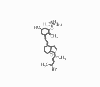 C=C1C(=CC=C2CCC[C@@]3(C)C2CC[C@@H]3[C@H](C)/C=C/[C@H](C)C(C)C)C[C@@H](O)C[C@@H]1O[Si](C)(C)C(C)(C)C